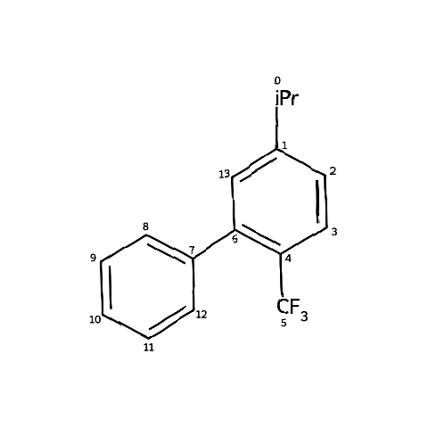 CC(C)c1ccc(C(F)(F)F)c(-c2ccccc2)c1